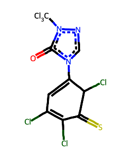 O=c1n(C2=CC(Cl)=C(Cl)C(=S)C2Cl)cnn1C(Cl)(Cl)Cl